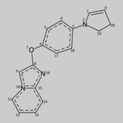 C1=CN(c2ccc(Oc3cn4ccccc4n3)cc2)CC1